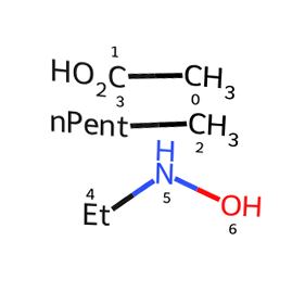 CC(=O)O.CCCCCC.CCNO